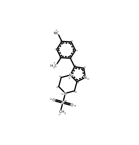 Cc1cc(C#N)ccc1-c1cnc2n1CCN(S(C)(=O)=O)C2